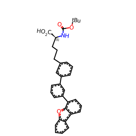 CC(C)(C)OC(=O)N[C@@H](CCCc1cccc(-c2cccc(-c3cccc4c3oc3ccccc34)c2)c1)C(=O)O